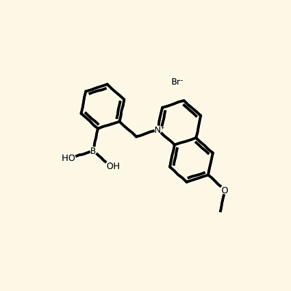 COc1ccc2c(ccc[n+]2Cc2ccccc2B(O)O)c1.[Br-]